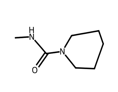 CNC(=O)N1CCCCC1